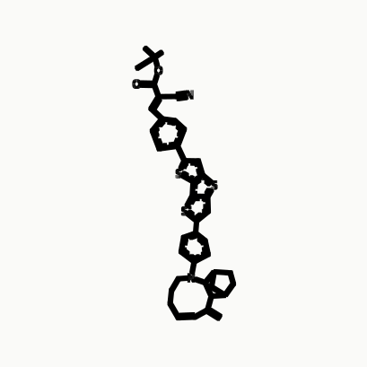 C=C1/C=C\CCCN(c2ccc(-c3cc4sc5cc(-c6ccc(/C=C(\C#N)C(=O)OC(C)(C)C)cc6)sc5c4s3)cc2)C2C3CCC(C3)C12